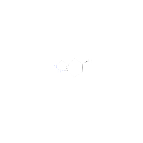 CC[C@H]1CCc2[nH]ncc2C1